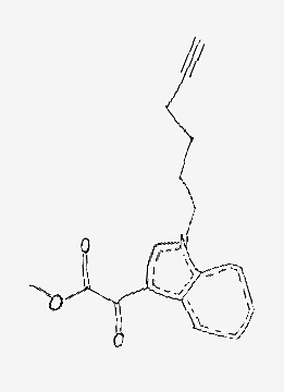 C#CCCCCn1cc(C(=O)C(=O)OC)c2ccccc21